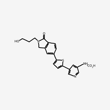 O=C(O)Nc1cncc(-c2ccc(-c3ccc4c(c3)CN(CCCO)C4=O)s2)c1